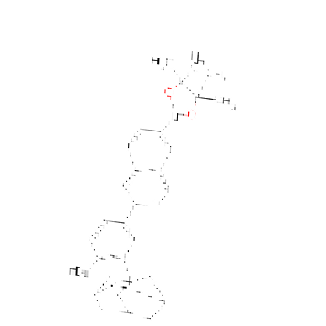 CCCCc1ccc(-c2ccc3cc(B4OC(C)(C)C(C)(C)O4)ccc3c2)cc1C12CC3CC(CC(C3)C1)C2